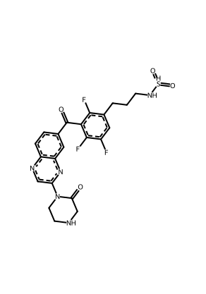 O=C(c1ccc2ncc(N3CCNCC3=O)nc2c1)c1c(F)c(F)cc(CCCN[SH](=O)=O)c1F